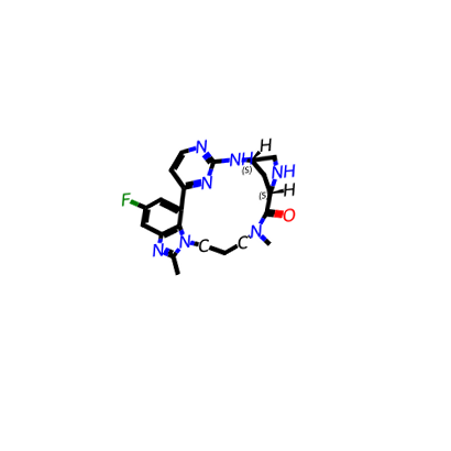 Cc1nc2cc(F)cc3c2n1CCCN(C)C(=O)[C@@H]1C[C@@H](CN1)Nc1nccc-3n1